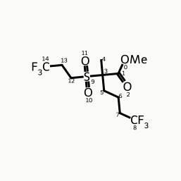 COC(=O)C(C)(CCCC(F)(F)F)S(=O)(=O)CCC(F)(F)F